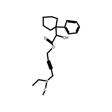 CCN(CC)CC#CCOC(=O)C(O)C1(c2ccccc2)CCCCC1